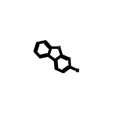 [2H]c1ccc2c(n1)oc1ccccc12